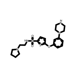 O=S(=O)(NCCN1CCCC1)c1ccc(Oc2cccc(N3CCNCC3)c2)s1